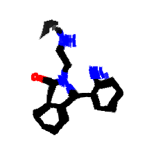 CC(C)NCCN1C(=O)c2ccccc2C1c1ccccc1N